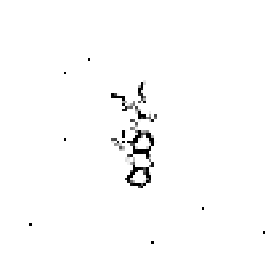 CCSN(SCC)C(=O)Oc1ccc2c(c1[Si](C)(C)C)Oc1ccccc1S2